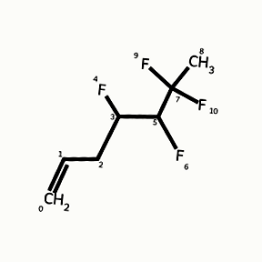 C=CCC(F)C(F)C(C)(F)F